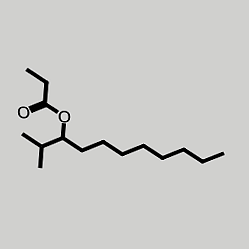 CCCCCCCCC(OC(=O)CC)C(C)C